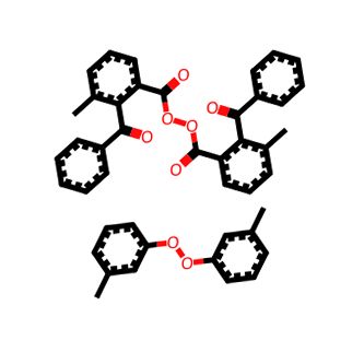 Cc1cccc(C(=O)OOC(=O)c2cccc(C)c2C(=O)c2ccccc2)c1C(=O)c1ccccc1.Cc1cccc(OOc2cccc(C)c2)c1